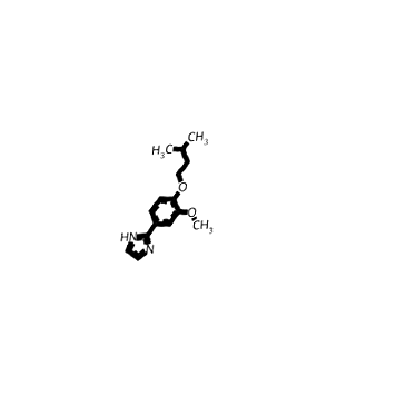 COc1cc(-c2ncc[nH]2)ccc1OCCC(C)C